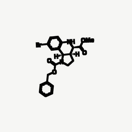 COC(=O)[C@@H]1Nc2ccc(Br)cc2[C@H]2[C@@H]1CCN2C(=O)OCc1ccccc1